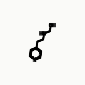 OCNCCc1ccncc1